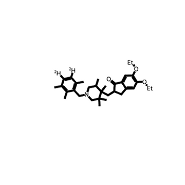 [2H]c1c([2H])c(C)c(CN2CC(C)C(C)(CC3Cc4cc(OCC)c(OCC)cc4C3=O)C(C)(C)C2)c(C)c1C